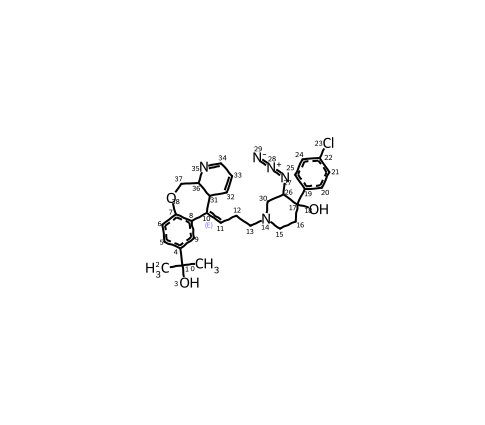 CC(C)(O)c1ccc2c(c1)/C(=C/CCN1CCC(O)(c3ccc(Cl)cc3)C(N=[N+]=[N-])C1)C1C=CC=NC1CO2